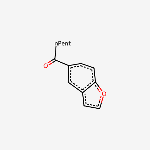 CCCCCC(=O)c1ccc2occc2c1